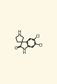 O=C1Nc2cc(Cl)c(Cl)cc2C12CCNC2